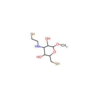 COC1OC(CS)C(O)C(NCCS)C1O